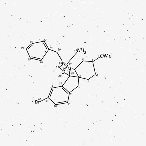 COC1CCC2(CC1)Cc1ccc(Br)cc1C21N=C(N)N(Cc2ccccc2)CO1